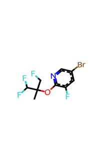 CC(CF)(Oc1ncc(Br)cc1F)C(F)F